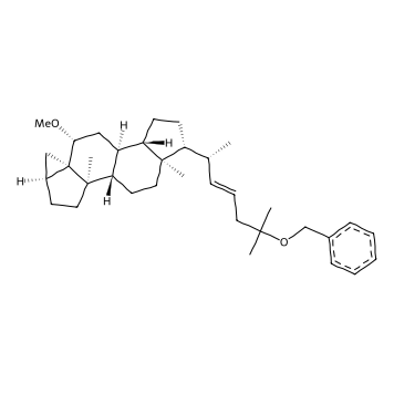 CO[C@@H]1C[C@H]2[C@@H]3CC[C@H]([C@H](C)C=CCC(C)(C)OCc4ccccc4)[C@@]3(C)CC[C@@H]2[C@@]2(C)CC[C@H]3C[C@]312